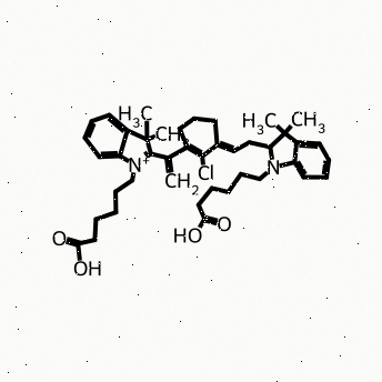 C=C(C1=C(Cl)C(=CCC2N(CCCCCC(=O)O)c3ccccc3C2(C)C)CCC1)C1=[N+](CCCCCC(=O)O)c2ccccc2C1(C)C